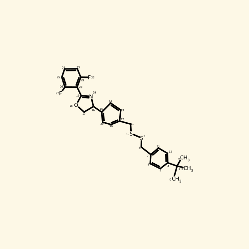 CC(C)(C)c1ccc(CSSCc2ccc(C3COC(c4c(F)cccc4F)=N3)cc2)cc1